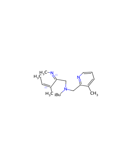 C/C=C(C)\C(CN(Cc1ncccc1C)C(C)CC)=N/C